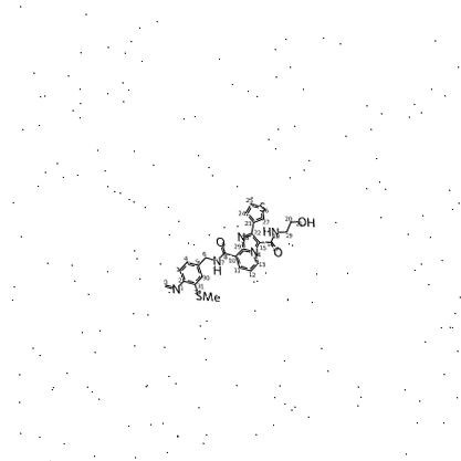 C=Nc1ccc(CNC(=O)c2cccn3c(C(=O)NCCO)c(-c4ccsc4)nc23)cc1SC